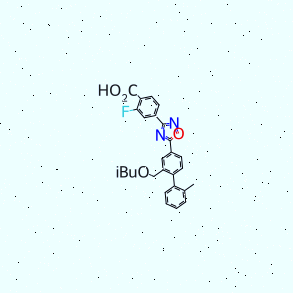 Cc1ccccc1-c1ccc(-c2nc(-c3ccc(C(=O)O)c(F)c3)no2)cc1COCC(C)C